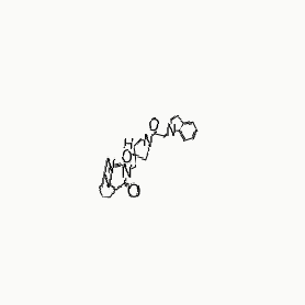 O=C1C2CCCN2N=CN1CC1(O)CCN(C(=O)CN2CCc3ccccc32)CC1